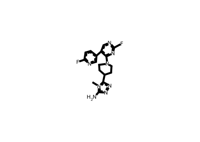 Cn1c(N)nnc1C1CCN(c2nc(F)ncc2-c2ccc(F)nc2)CC1